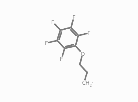 [CH2]CCOc1c(F)c(F)c(F)c(F)c1F